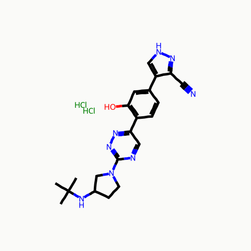 CC(C)(C)NC1CCN(c2ncc(-c3ccc(-c4c[nH]nc4C#N)cc3O)nn2)C1.Cl.Cl